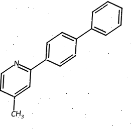 Cc1ccnc(-c2ccc(-c3ccccc3)cc2)c1